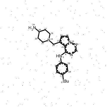 CC(C)(C)c1ccc(Nc2ncnn3ccc(CN4CCC(N)CC4)c23)cc1